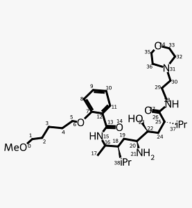 COCCCCCOc1ccccc1C(=O)NC(C)[C@@H](C[C@H](N)[C@@H](O)C[C@H](C(=O)NCCN1CCOCC1)C(C)C)C(C)C